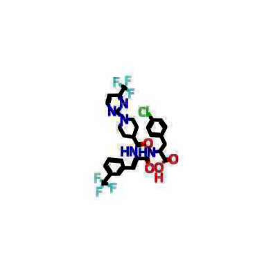 O=C(NC(Cc1ccc(Cl)cc1)C(=O)O)C(=Cc1cccc(C(F)(F)F)c1)NC(=O)C1CCN(c2nccc(C(F)(F)F)n2)CC1